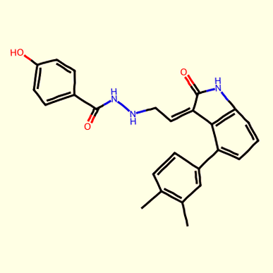 Cc1ccc(-c2cccc3c2C(=CCNNC(=O)c2ccc(O)cc2)C(=O)N3)cc1C